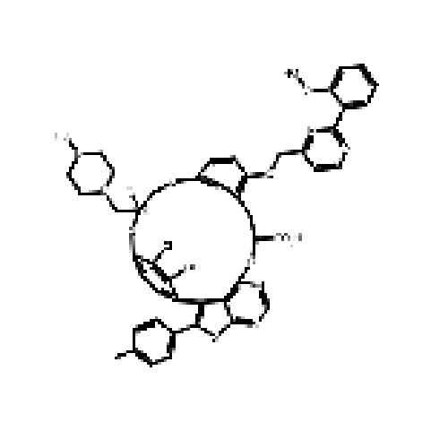 O=C(O)C1Cc2cc(ccc2OCc2ccnc(-c3ccccc3OO)n2)OC[C@@H](CN2CCN(O)CC2)Oc2ccc(c(O)c2Cl)-c2c(-c3ccc(F)cc3)sc3ncnc(c23)O1